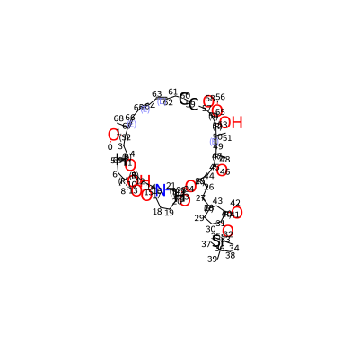 CO[C@H]1C[C@@H]2CC[C@@H](C)[C@@](O)(O2)C(=O)C(=O)N2CCCC[C@H]2C(=O)O[C@H](CC[C@@H]2CCC(O[Si](C)(C)C(C)(C)C)[C@H](OC)C2)CC(=O)[C@H](C)/C=C(\C)[C@@H](O)[C@@H](OC)C(=O)CCC/C=C/C=C/C=C/1C